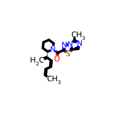 C=C(/C=C\C=C/C)[C@@H]1CCCCN1C(=O)c1nn2c(C)ncc2s1